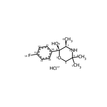 C[C@H]1NC(C)(C)CO[C@]1(O)c1ccc(F)cc1.Cl